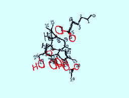 CCCCCC(=O)O[C@@]12C[C@@H](C)[C@]34C=C(C)[C@H](OC(C)=O)[C@@]3(O)[C@H](O)C(CO)=C[C@H](C4=O)[C@@H]1C2(C)C